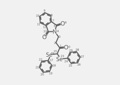 O=C(CCN1C(=O)c2ccccc2C1=O)C([Se]c1ccccc1)[Se]c1ccccc1